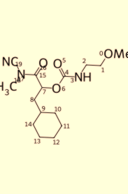 COCCNC(=O)OC(CC1CCCCC1)C(=O)N(C)C#N